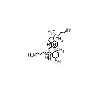 CC(C)CCC[C@@H](C)[C@H]1CC[C@H]2C3=CC(NCCCN)C4(O)CC(O)CC[C@]4(C)[C@H]3CC[C@]12C